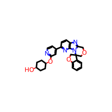 O[C@H]1CC[C@@H](Oc2cc(-c3ccc4nc5n(c4n3)C3(COC5)COc4ccccc43)ccn2)CC1